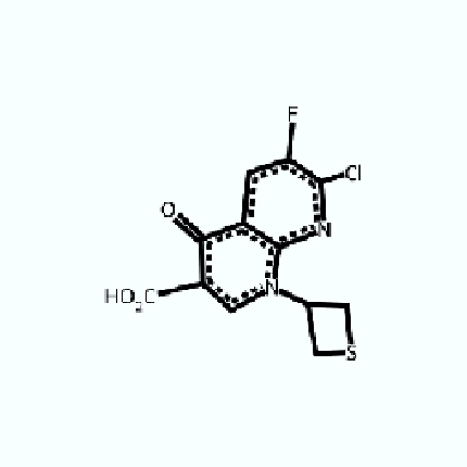 O=C(O)c1cn(C2CSC2)c2nc(Cl)c(F)cc2c1=O